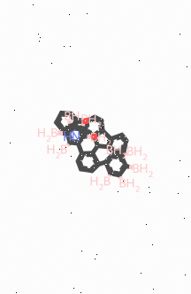 Bc1c(B)c(B)c(-c2cccc(-c3c(B)c(B)c(B)c(B)c3B)c2C2c3ccccc3-c3ccc4c([nH]c5ccccc54)c32)c(B)c1B